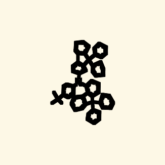 CC(C)(C)c1ccc(N(c2ccc3c(c2)C(c2ccccc2)(c2ccccc2)c2ccccc2-3)c2cccc3c2-c2ccccc2C3(c2ccccc2)c2ccccc2)cc1